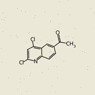 CC(=O)c1ccc2nc(Cl)cc(Cl)c2c1